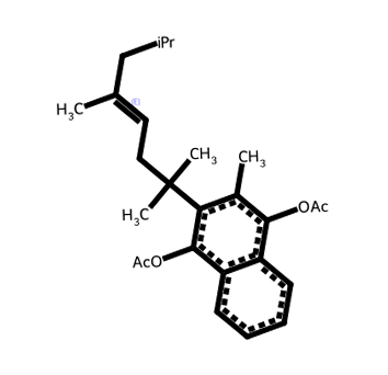 CC(=O)Oc1c(C)c(C(C)(C)C/C=C(\C)CC(C)C)c(OC(C)=O)c2ccccc12